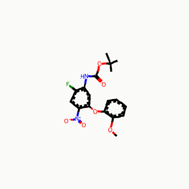 COc1ccccc1Oc1cc(NC(=O)OC(C)(C)C)c(F)cc1[N+](=O)[O-]